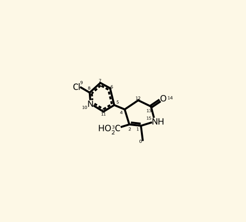 CC1=C(C(=O)O)C(c2ccc(Cl)nc2)CC(=O)N1